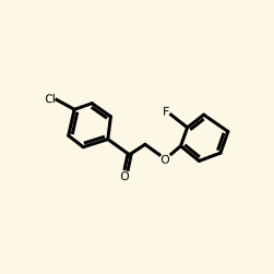 O=C(COc1ccccc1F)c1ccc(Cl)cc1